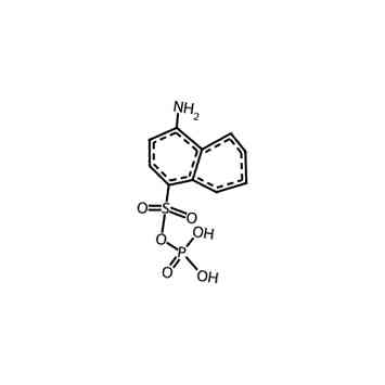 Nc1ccc(S(=O)(=O)OP(=O)(O)O)c2ccccc12